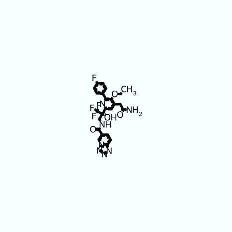 CCOc1c(CC(N)=O)cc([C@@](O)(CNC(=O)c2ccc3nnnn3c2)C(F)(F)F)nc1-c1ccc(F)cc1